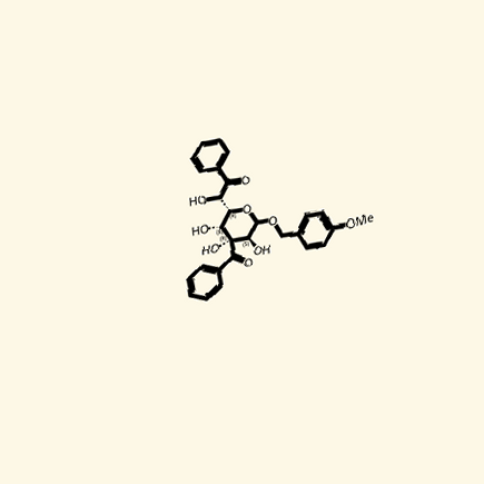 COc1ccc(COC2O[C@@H](C(O)C(=O)c3ccccc3)[C@@H](O)[C@](O)(C(=O)c3ccccc3)[C@@H]2O)cc1